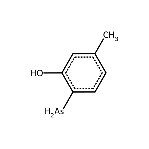 Cc1ccc([AsH2])c(O)c1